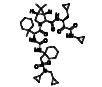 CC1([C@H](NC(=O)NC2(CS(=O)(=O)N(CC3CC3)C3CC3)CCCCC2)C(=O)N2C[C@H]3[C@@H]([C@H]2C(=O)N[C@@H](CC2CC2)C(=O)C(=O)NC2CC2)C3(C)C)CCCCC1